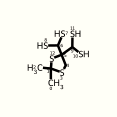 CC1(C)SCC(C(S)S)(C(S)S)S1